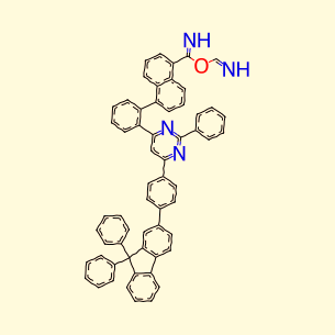 N=COC(=N)c1cccc2c(-c3ccccc3-c3cc(-c4ccc(-c5ccc6c(c5)C(c5ccccc5)(c5ccccc5)c5ccccc5-6)cc4)nc(-c4ccccc4)n3)cccc12